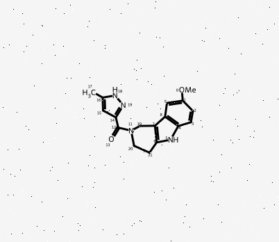 COc1ccc2[nH]c3c(c2c1)CN(C(=O)c1cc(C)[nH]n1)CC3